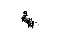 COc1nc(N)nc2c1ncn2[C@@H]1O[C@H](CO[P@@]2(=O)N[C@H](C(=O)O[C@H](C)c3ccccc3)CCS2)[C@@H](O)[C@@]1(C)O